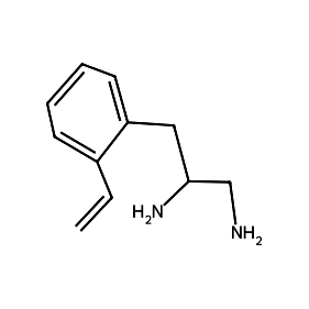 C=Cc1ccccc1CC(N)CN